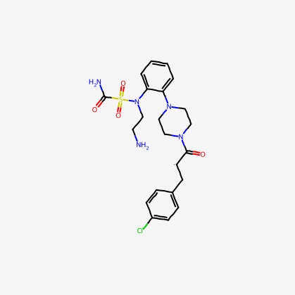 NCCN(c1ccccc1N1CCN(C(=O)[CH]Cc2ccc(Cl)cc2)CC1)S(=O)(=O)C(N)=O